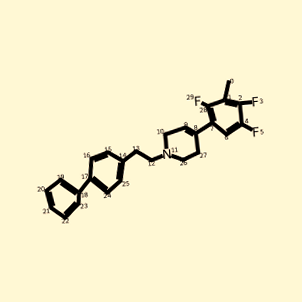 Cc1c(F)c(F)cc(C2=CCN(CCc3ccc(-c4ccccc4)cc3)CC2)c1F